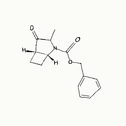 CC1C(=O)[C@H]2CC[C@H]2N1C(=O)OCc1ccccc1